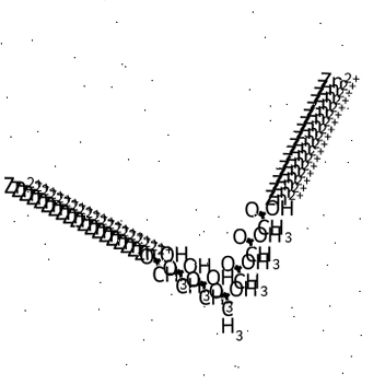 CC(=O)O.CC(=O)O.CC(=O)O.CC(=O)O.CC(=O)O.CC(=O)O.CC(=O)O.[Zn+2].[Zn+2].[Zn+2].[Zn+2].[Zn+2].[Zn+2].[Zn+2].[Zn+2].[Zn+2].[Zn+2].[Zn+2].[Zn+2].[Zn+2].[Zn+2].[Zn+2].[Zn+2].[Zn+2].[Zn+2].[Zn+2].[Zn+2].[Zn+2].[Zn+2].[Zn+2].[Zn+2].[Zn+2].[Zn+2].[Zn+2].[Zn+2].[Zn+2].[Zn+2].[Zn+2].[Zn+2].[Zn+2].[Zn+2].[Zn+2].[Zn+2]